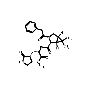 COC(=O)[C@H](C[C@@H]1CCNC1=O)NC(=O)[C@@H]1[C@@H]2[C@H](CN1C(=O)Cc1ccccc1)C2(C)C